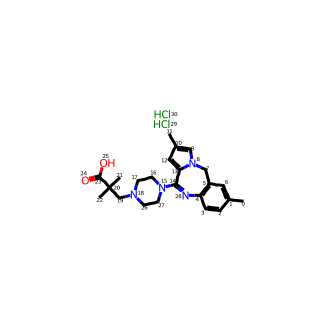 Cc1ccc2c(c1)Cn1cc(C)cc1C(N1CCN(CC(C)(C)C(=O)O)CC1)=N2.Cl.Cl